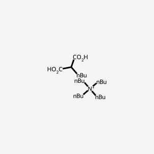 CCCCC(C(=O)O)C(=O)O.CCCC[N+](CCCC)(CCCC)CCCC